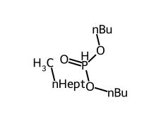 CCCCCCCC.CCCCO[PH](=O)OCCCC